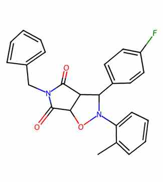 Cc1ccccc1N1OC2C(=O)N(Cc3ccccc3)C(=O)C2C1c1ccc(F)cc1